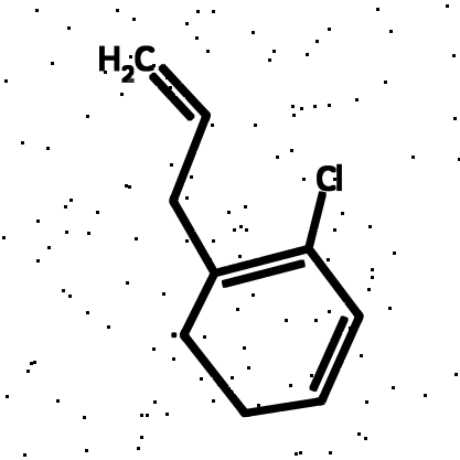 C=CCC1=C(Cl)C=CC[CH]1